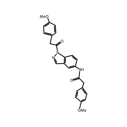 COc1ccc(CC(=O)Nc2ccc3c(cnn3C(=O)Cc3ccc(OC)cc3)c2)cc1